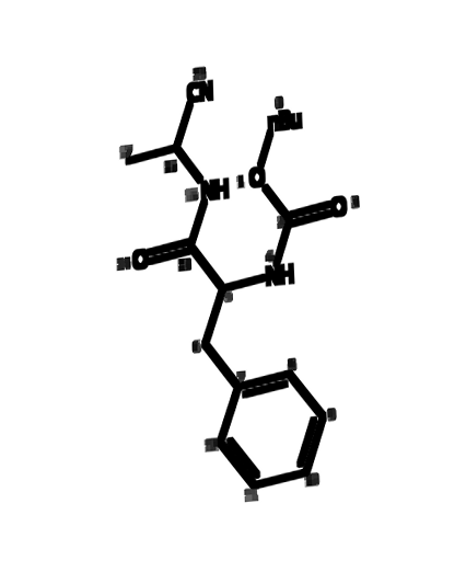 CCCCOC(=O)NC(Cc1ccccc1)C(=O)NC(C)C#N